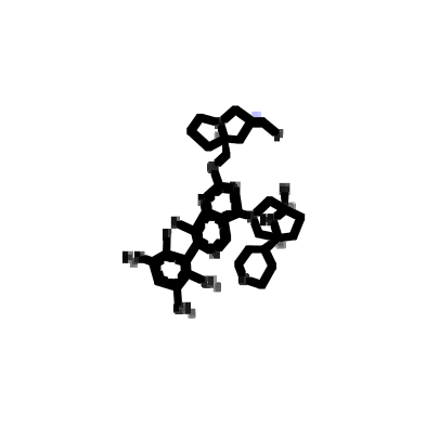 Cc1cc(N)c(F)c(-c2ncc3c(N4C[C@@H]5CC[C@](C6CCOCC6)(C4)N5)nc(OC[C@@]45CCCN4C/C(=C/F)C5)nc3c2F)c1C(F)(F)F